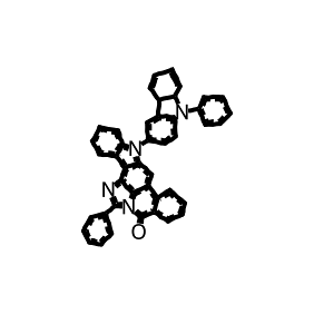 O=c1c2ccccc2c2cc3c(c4ccccc4n3-c3ccc4c(c3)C3C=CC=CC3N4c3ccccc3)c3nc(-c4ccccc4)n1c23